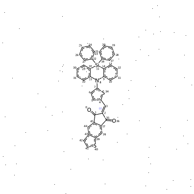 O=C1/C(=C\c2ccc(N3c4ccccc4[Si](c4ccccc4)(c4ccccc4)c4ccccc43)s2)C(=O)c2cc3sccc3cc21